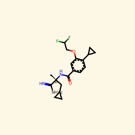 CC(=O)NC(=N)[C@@](C)(CC1CC1)NC(=O)c1ccc(C2CC2)c(OCC(F)F)c1